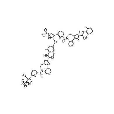 COC(=O)n1cc(-c2cccc(C(=O)N3CCc4cc(C(=O)Nc5c(C)cccc5F)sc4-c4ccccc43)n2)c(C2CC2c2cc(C)c(NC(=O)c3cc4c(s3)-c3ccccc3N(C(=O)c3cccc(-c5cnn(S(C)(=O)=O)c5C5CC5)n3)CC4)c(F)c2)n1